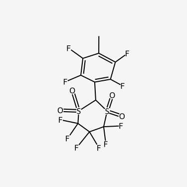 Cc1c(F)c(F)c(C2S(=O)(=O)C(F)(F)C(F)(F)C(F)(F)S2(=O)=O)c(F)c1F